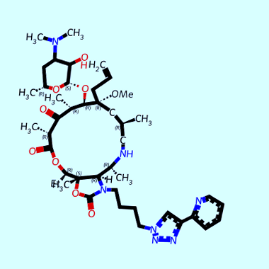 C=CC[C@@]1(OC)C[C@@H](C)CN[C@H](C)[C@H]2N(CCCCn3cc(-c4ccccn4)nn3)C(=O)O[C@]2(C)[C@@H](CC)OC(=O)[C@H](C)C(=O)[C@H](C)[C@H]1O[C@@H]1O[C@H](C)CC(N(C)C)C1O